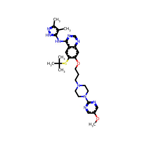 COc1cnc(N2CCN(CCCOc3cc4ncnc(Nc5[nH]nc(C)c5C)c4cc3SC(C)(C)C)CC2)nc1